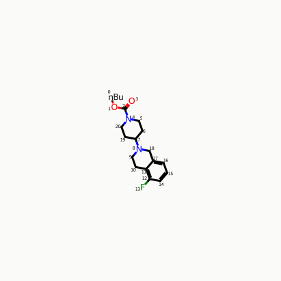 CCCCOC(=O)N1CCC(N2CCc3c(F)cccc3C2)CC1